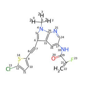 [2H]C([2H])([2H])n1cc(C#Cc2ccc(Cl)s2)c2cc(NC(=O)C(=C)F)cnc21